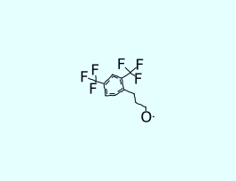 [O]CCCc1ccc(C(F)(F)F)cc1C(F)(F)F